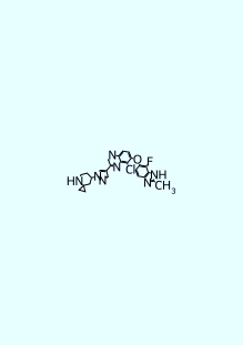 Cc1nc2ccc(Oc3ccc4ncc(-c5cnn(C6CCNC7(CC7)C6)c5)nc4c3Cl)c(F)c2[nH]1